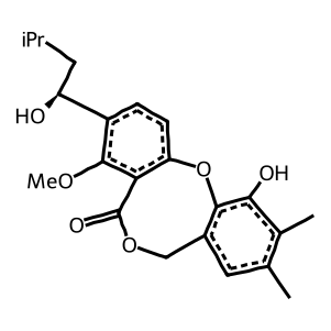 COc1c([C@@H](O)CC(C)C)ccc2c1C(=O)OCc1cc(C)c(C)c(O)c1O2